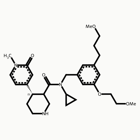 COCCCc1cc(CN(C(=O)C2CNCC[C@@H]2c2ccn(C)c(=O)c2)C2CC2)cc(OCCOC)c1